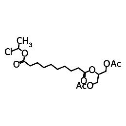 CC(=O)OCC(COC(C)=O)OC(=O)CCCCCCCCC(=O)OC(C)Cl